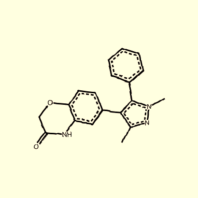 Cc1nn(C)c(-c2ccccc2)c1-c1ccc2c(c1)NC(=O)CO2